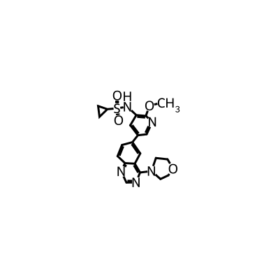 COc1ncc(-c2ccc3ncnc(N4CCOCC4)c3c2)cc1NS(=O)(=O)C1CC1